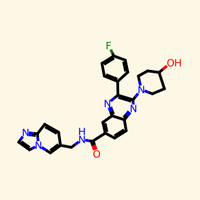 O=C(NCc1ccc2nccn2c1)c1ccc2nc(N3CCC(O)CC3)c(-c3ccc(F)cc3)nc2c1